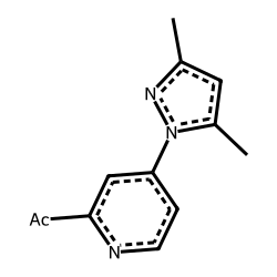 CC(=O)c1cc(-n2nc(C)cc2C)ccn1